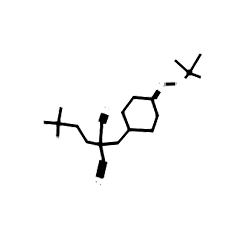 CC(C)(C)ON=C1CCC(CC(C#N)(C#N)CCC(F)(F)F)CC1